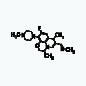 C/N=C/C1=CN2c3c(cc(F)c(N4CCN(C)CC4)c3OC[C@@H]2C)C1C